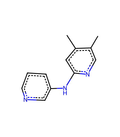 Cc1cnc(Nc2cccnc2)cc1C